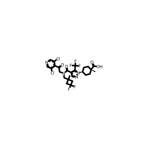 CC1(CN(CC(=O)c2c(Cl)cncc2Cl)C(=O)c2cnn([C@H]3CC[C@](C)(C(=O)O)CC3)c2C(F)(F)F)CC(F)(F)C1